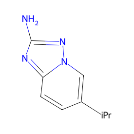 CC(C)c1ccc2nc(N)nn2c1